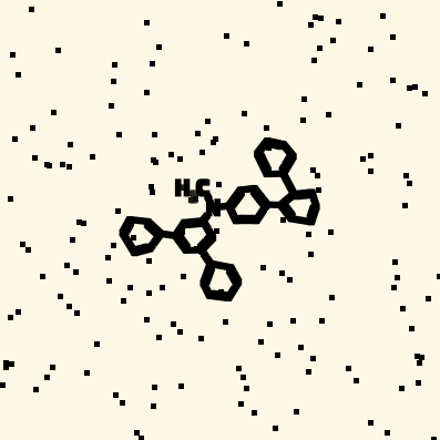 CN(c1ccc(-c2ccccc2-c2ccccc2)cc1)c1cc(-c2ccccc2)cc(-c2ccccc2)c1